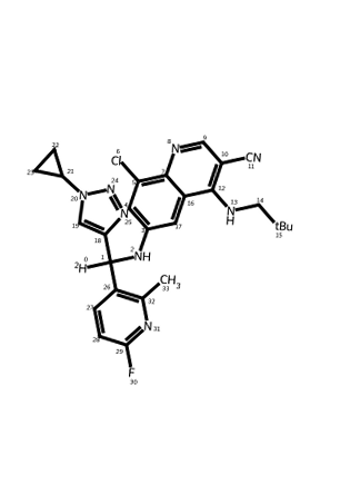 [2H]C(Nc1cc(Cl)c2ncc(C#N)c(NCC(C)(C)C)c2c1)(c1cn(C2CC2)nn1)c1ccc(F)nc1C